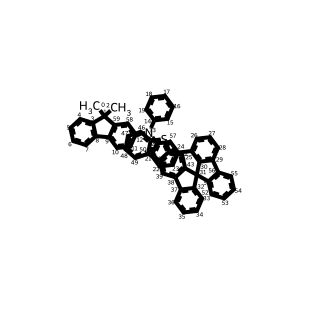 CC1(C)c2ccccc2-c2ccc(N(c3ccccc3)c3cccc(-c4cccc5c4C4(c6ccccc6-c6cc7c(cc64)sc4ccccc47)c4ccccc4-5)c3)cc21